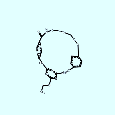 O=C1NCCCCCOc2ccc(cc2)CNc2nc(nc(OCC(F)(F)F)n2)Nc2ccc1cc2